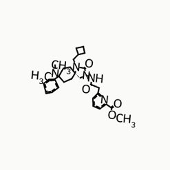 COC(=O)c1cccc(CC(=O)NN2C[C@]3(CC[C@](c4ccccc4)(N(C)C)CC3)N(CC3CCC3)C2=O)n1